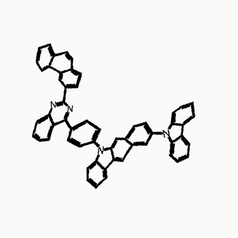 c1ccc2c(c1)ccc1ccc(-c3nc(-c4ccc(-n5c6ccccc6c6cc7cc(-n8c9ccccc9c9ccccc98)ccc7cc65)cc4)c4ccccc4n3)cc12